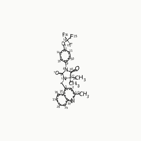 Cc1cc(CN2C(=O)N(c3ccc(OC(F)(F)F)cc3)C(=O)C2(C)C)c2ccccc2n1